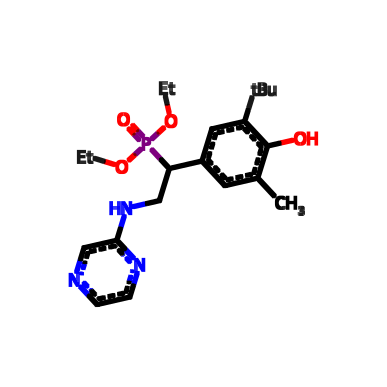 CCOP(=O)(OCC)C(CNc1cnccn1)c1cc(C)c(O)c(C(C)(C)C)c1